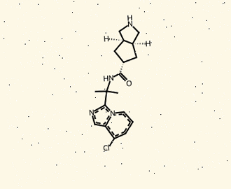 CC(C)(NC(=O)[C@@H]1C[C@H]2CNC[C@H]2C1)c1ncc2c(Cl)cccn12